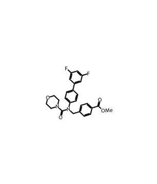 COC(=O)c1ccc(CN(C(=O)N2CCOCC2)c2ccc(-c3cc(F)cc(F)c3)cc2)cc1